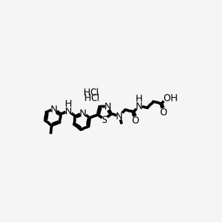 Cc1ccnc(Nc2cccc(-c3cnc(N(C)CC(=O)NCCC(=O)O)s3)n2)c1.Cl.Cl